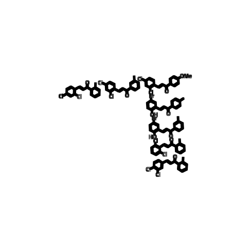 COc1ccc(C(=O)C=Cc2ccc(Cl)cc2Cl)cc1.Cc1ccc(C(=O)C=Cc2cc(Br)ccc2O)cc1.Cc1cccc(C(=O)C=Cc2cc(Br)ccc2O)c1.Cc1cccc(C(=O)C=Cc2ccc(Cl)cc2Cl)c1.Cc1ccccc1C(=O)C=Cc1c(Cl)cccc1Cl.Cc1ccccc1C(=O)C=Cc1ccc(Cl)c(Cl)c1.Cc1ccccc1C(=O)C=Cc1ccc(Cl)cc1Cl